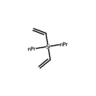 C=C[Si](C=C)(CCC)CCC